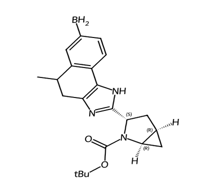 Bc1ccc2c(c1)C(C)Cc1nc([C@@H]3C[C@H]4C[C@H]4N3C(=O)OC(C)(C)C)[nH]c1-2